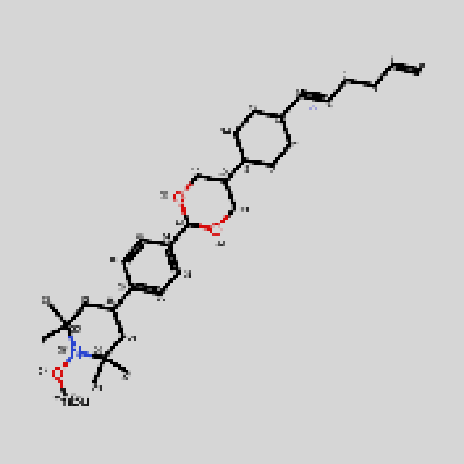 C=CCC/C=C/C1CCC(C2COC(c3ccc(C4CC(C)(C)N(OCCCC)C(C)(C)C4)cc3)OC2)CC1